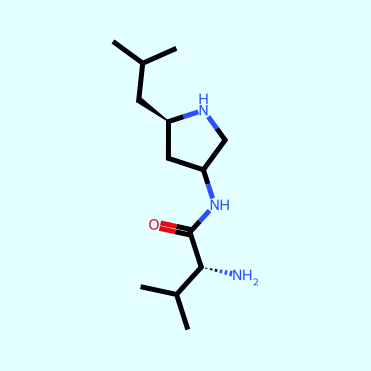 CC(C)C[C@@H]1CC(NC(=O)[C@H](N)C(C)C)CN1